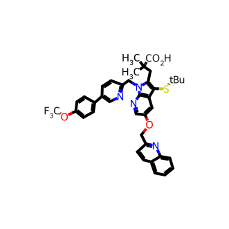 CC(C)(C)Sc1c(CC(C)(C)C(=O)O)n(Cc2ccc(-c3ccc(OC(F)(F)F)cc3)cn2)c2ncc(OCc3ccc4ccccc4n3)cc12